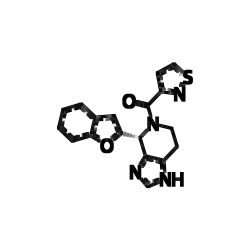 O=C(c1ccsn1)N1CCc2[nH]cnc2[C@@H]1c1cc2ccccc2o1